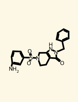 Nc1cccc(S(=O)(=O)N2CCc3c([nH]n(Cc4ccccc4)c3=O)C2)c1